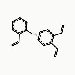 C=Cc1ccccc1C=C.C=Cc1ccccc1CCCCC